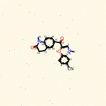 CN(C)/C=C(\Oc1ccc(C#N)cc1)C(=O)c1ccc2c(c1)CCC(=O)N2C